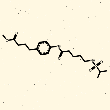 COC(=O)CCCc1ccc(NC(=O)CCCCNS(=O)(=O)C(C)C)cc1